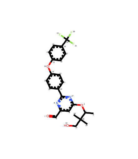 CC(Oc1cc(C=O)nc(-c2ccc(Oc3ccc(C(F)(F)F)cc3)cc2)n1)C(C)(C)CO